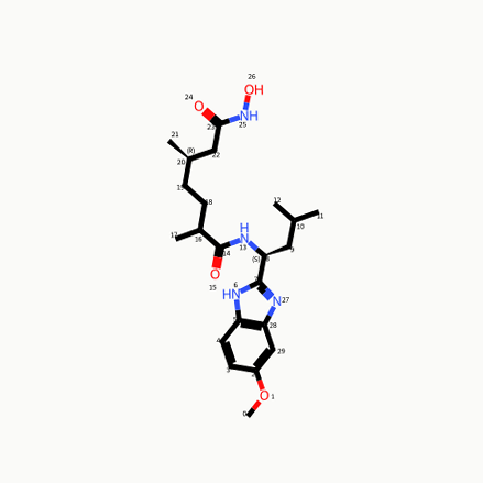 COc1ccc2[nH]c([C@H](CC(C)C)NC(=O)C(C)CC[C@@H](C)CC(=O)NO)nc2c1